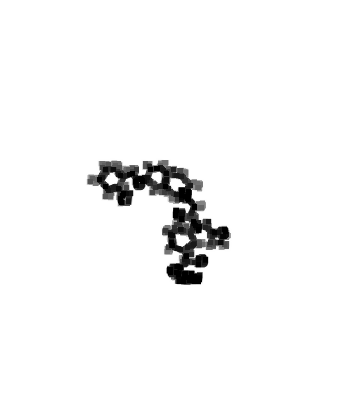 CC(C)(C)OC(=O)c1ccc2nc(CN3CCc4ccc(OCc5ccccc5Cl)cc4C3)n(C[C@@H]3CCO3)c2c1